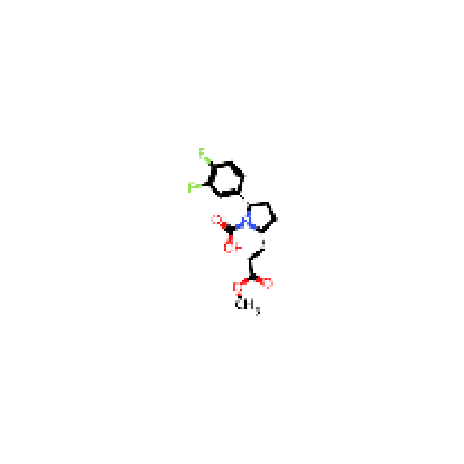 COC(=O)CC[C@H]1CC[C@@H](c2ccc(F)c(F)c2)N1C(=O)O